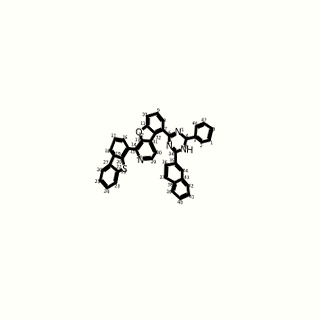 c1ccc(C2N=C(c3cccc4oc5c(-c6cccc7c6sc6ccccc67)nccc5c34)N=C(c3ccc4ccccc4c3)N2)cc1